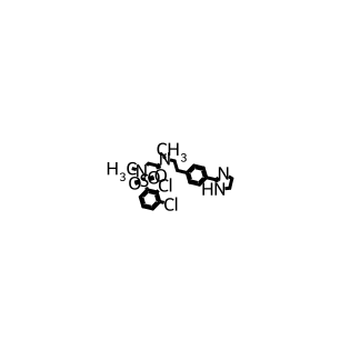 CN(CCc1ccc(C2=NCCN2)cc1)C(=O)CN(C)S(=O)(=O)c1cccc(Cl)c1Cl